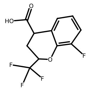 O=C(O)C1CC(C(F)(F)F)Oc2c(F)cccc21